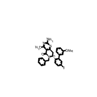 COc1cccc(-c2cc(F)ccc2[C@H]2Cc3nc(N)nc(C)c3C(=O)N2Cc2ccccc2)c1